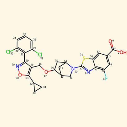 O=C(O)c1cc(F)c2nc(N3CC4CC3CC4OCc3c(-c4c(Cl)cccc4Cl)noc3C3CC3)sc2c1